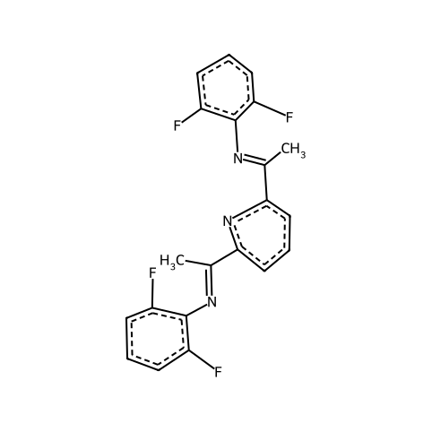 CC(=Nc1c(F)cccc1F)c1cccc(C(C)=Nc2c(F)cccc2F)n1